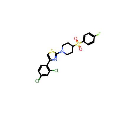 O=S(=O)(c1ccc(F)cc1)C1CCN(c2nc(-c3ccc(Cl)cc3Cl)cs2)CC1